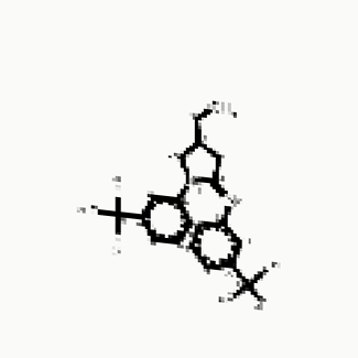 CCC1C/C(=N/c2cccc(C(F)(F)F)c2)N(c2cccc(C(F)(F)F)c2)C1